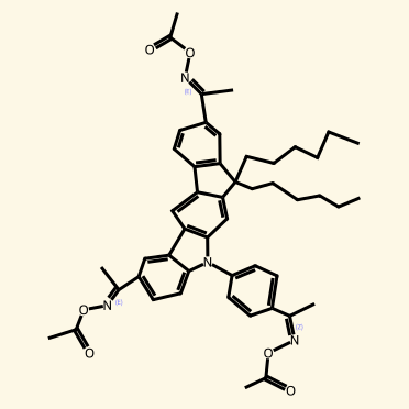 CCCCCCC1(CCCCCC)c2cc(/C(C)=N/OC(C)=O)ccc2-c2cc3c4cc(/C(C)=N/OC(C)=O)ccc4n(-c4ccc(/C(C)=N\OC(C)=O)cc4)c3cc21